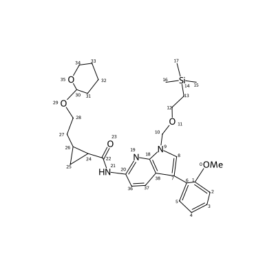 COc1ccccc1-c1cn(COCC[Si](C)(C)C)c2nc(NC(=O)C3CC3CCOC3CCCCO3)ccc12